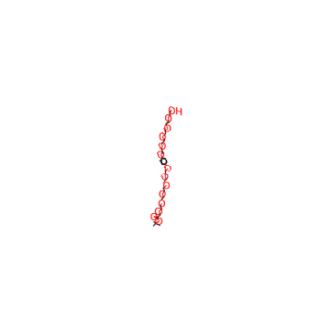 CC(C)(C)OC(=O)COCCOCCOCCOCCOCCOc1ccc(OCCOCCOCCOCCOCCO)cc1